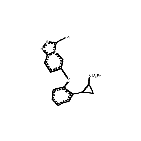 CCOC(=O)C1CC1c1ccccc1Sc1ccc2nnc(C(C)C)n2c1